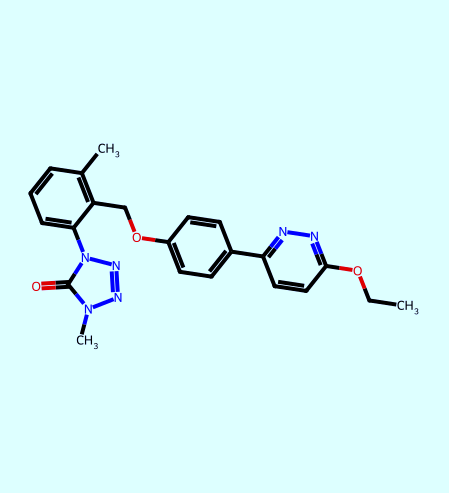 CCOc1ccc(-c2ccc(OCc3c(C)cccc3-n3nnn(C)c3=O)cc2)nn1